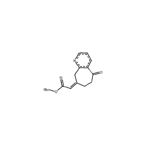 CC(C)(C)OC(=O)/C=C1/CCC(=O)c2cccnc2C1